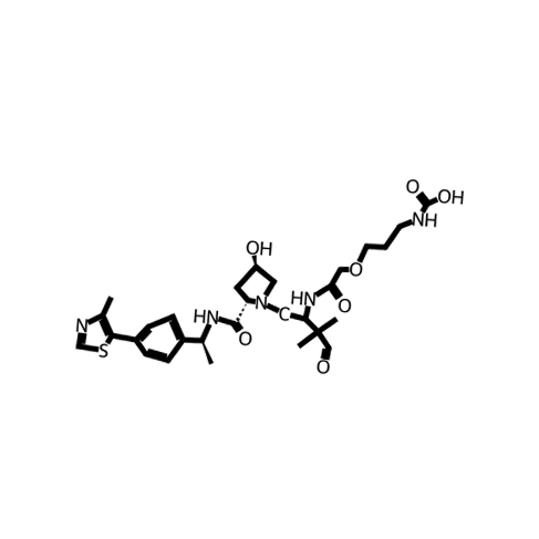 Cc1ncsc1-c1ccc([C@H](C)NC(=O)[C@@H]2C[C@@H](O)CN2CC(NC(=O)COCCCNC(=O)O)C(C)(C)C=O)cc1